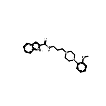 COc1ccccc1N1CCN(CCCNC(=O)c2cc3ccccc3[nH]2)CC1